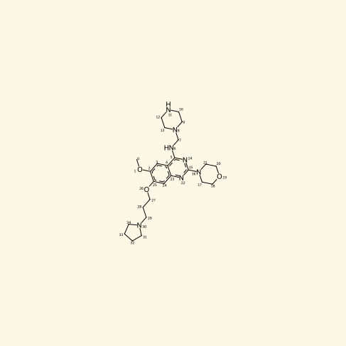 COc1cc2c(NCN3CCNCC3)nc(N3CCOCC3)nc2cc1OCCCN1CCCC1